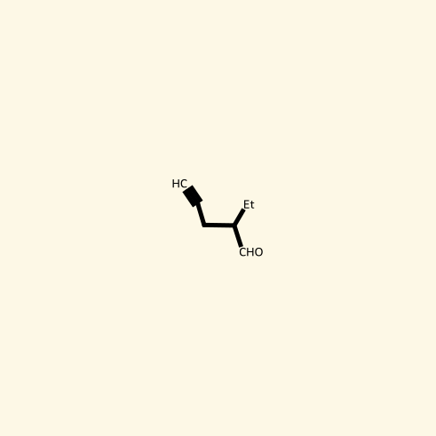 C#CCC(C=O)CC